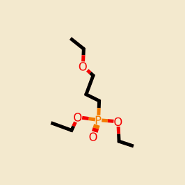 CCOCCCP(=O)(OCC)OCC